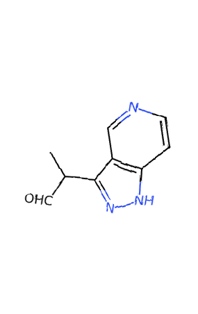 CC(C=O)c1n[nH]c2ccncc12